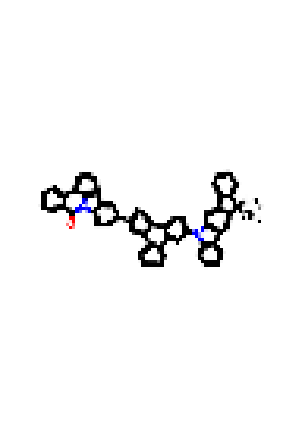 CC1(C)c2ccccc2-c2cc3c(cc21)c1ccccc1n3-c1ccc2c3ccc(-c4ccc5c(c4)c4cccc6c7ccccc7c(=O)n5c64)cc3c3ccccc3c2c1